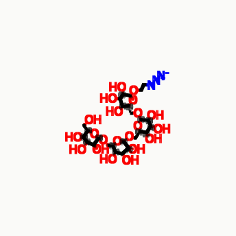 [N-]=[N+]=NCCOC1O[C@H](CO[C@@H]2O[C@H](CO[C@@H]3O[C@H](CO[C@@H]4O[C@H](CO)[C@@H](O)[C@H](O)C4O)[C@@H](O)C(O)[C@H]3O)[C@@H](O)[C@H](O)[C@H]2O)[C@@H](O)C(O)[C@H]1O